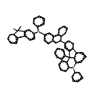 CC1(C)c2ccccc2-c2ccc(N(c3ccccc3)c3ccc4cc(-c5ccc6c(c5)C5(c7ccccc7)c7ccccc7N(c7ccccc7)c7cccc-6c75)c5ccccc5c4c3)cc21